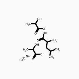 CC(C)CC(N)C(=O)O.CC(O)C(=O)[O-].CC(O)C(=O)[O-].[Ca+2].[Cl-].[Na+]